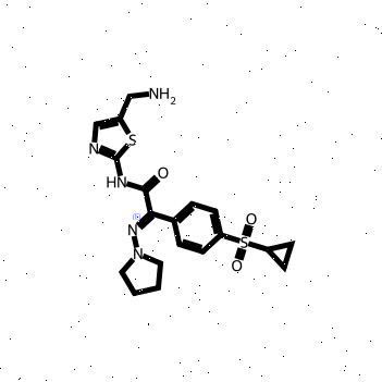 NCc1cnc(NC(=O)/C(=N/N2CCCC2)c2ccc(S(=O)(=O)C3CC3)cc2)s1